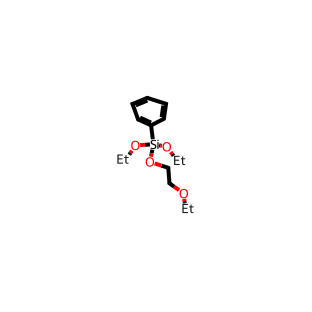 CCOCCO[Si](OCC)(OCC)c1ccccc1